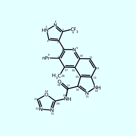 CCCc1c(-c2c[nH]nc2C(F)(F)F)nc2ccc3[nH]nc(C(=O)Nc4nnco4)c3c2c1C